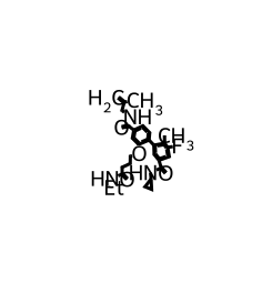 C=C(C)CNC(=O)c1ccc(-c2cc(C(=O)NC3CC3)cc(F)c2C)c(OCCCC(=O)NCC)c1